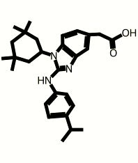 CC(C)c1ccc(Nc2nc3cc(CC(=O)O)ccc3n2C2CC(C)(C)CC(C)(C)C2)cc1